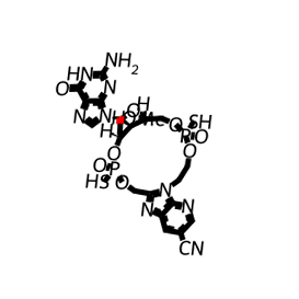 CO[C@H]1[C@H]2OP(=O)(S)OCc3nc4cc(C#N)cnc4n3CCOP(=O)(S)OC[C@H]1O[C@H]2n1cnc2c(=O)[nH]c(N)nc21